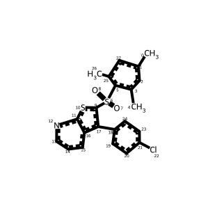 Cc1cc(C)c(S(=O)(=O)c2sc3ncccc3c2-c2ccc(Cl)cc2)c(C)c1